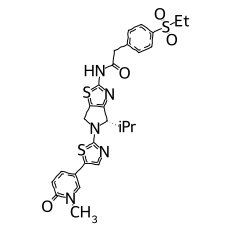 CCS(=O)(=O)c1ccc(CC(=O)Nc2nc3c(s2)CN(c2ncc(-c4ccc(=O)n(C)c4)s2)[C@H]3C(C)C)cc1